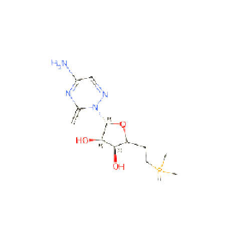 C=C1N=C(N)C=NN1[C@@H]1OC(CCP(=C)(C)C)[C@@H](O)[C@H]1O